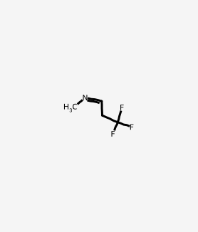 C/N=C\CC(F)(F)F